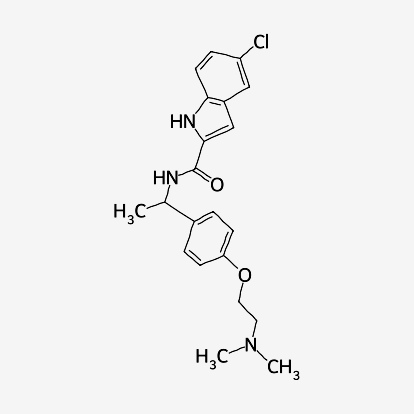 CC(NC(=O)c1cc2cc(Cl)ccc2[nH]1)c1ccc(OCCN(C)C)cc1